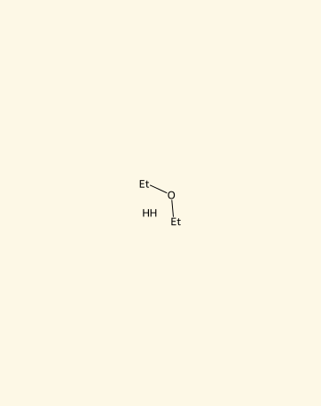 CCOCC.[HH]